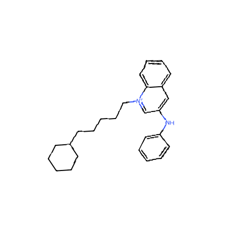 c1ccc(Nc2cc3ccccc3[n+](CCCCCC3CCCCC3)c2)cc1